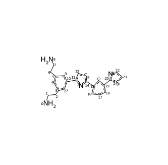 NCCc1cc(CCN)cc(-c2csc(-c3cccc(-c4nccs4)c3)n2)c1